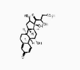 CCCC[C@@H]1C[C@H]2[C@@H]3CCC4=CC(=O)C=C[C@]4(C)[C@H]3[C@@H](O)C[C@]2(C)[C@@]1(O)C(=O)C(O)CC(=O)O